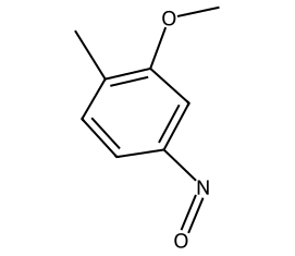 COc1cc(N=O)ccc1C